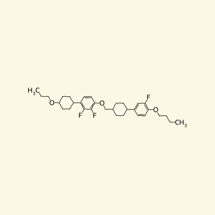 CCCCOc1ccc(C2CCC(COc3ccc(C4CCC(OCCC)CC4)c(F)c3F)CC2)cc1F